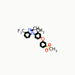 Cc1cc(Oc2cccc(S(C)(=O)=O)c2)ccc1-n1c(C)nc2c(C(F)(F)F)cccc21